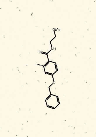 COCCNC(=O)c1ccc(OCc2ccccc2)cc1F